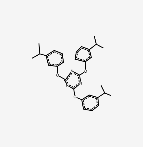 CC(C)c1cccc(Oc2nc(Oc3cccc(C(C)C)c3)nc(Oc3cccc(C(C)C)c3)n2)c1